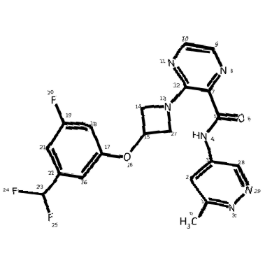 Cc1cc(NC(=O)c2nccnc2N2CC(Oc3cc(F)cc(C(F)F)c3)C2)cnn1